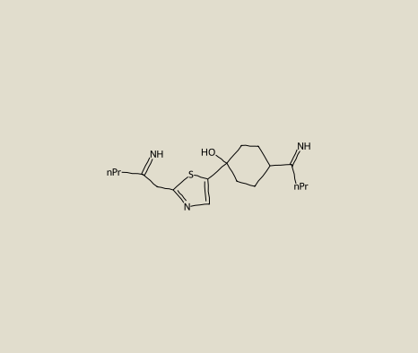 C[CH]CC(=N)C1CCC(O)(c2cnc(CC(=N)CCC)s2)CC1